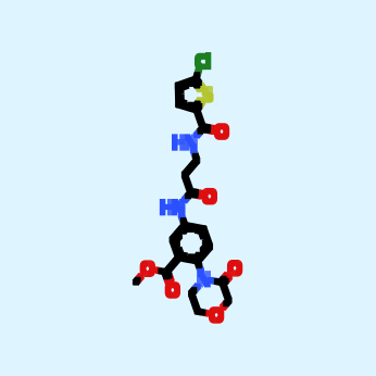 COC(=O)c1cc(NC(=O)CCNC(=O)c2ccc(Cl)s2)ccc1N1CCOCC1=O